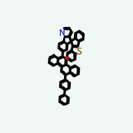 c1ccc(-c2ccc(-c3cc4c5ccccc5c(-c5ccc6c(c5)C5(c7ccccc7-c7sc8ccccc8c75)c5cccnc5-6)cc4c4ccccc34)cc2)cc1